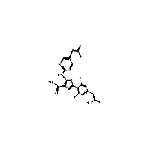 CC(O)Cc1cc(F)c(-c2cc(C(N)=O)c(Nc3ccc(CN(C)C)cn3)s2)c(F)c1